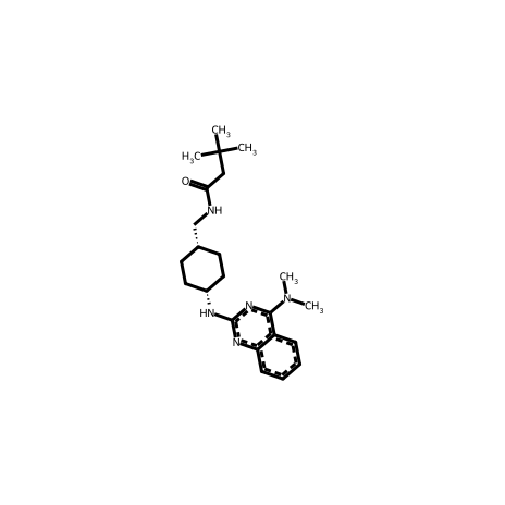 CN(C)c1nc(N[C@H]2CC[C@@H](CNC(=O)CC(C)(C)C)CC2)nc2ccccc12